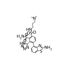 CN(C)CCCNS(=O)(=O)c1ccc(-c2cccc3sc(N)nc23)c(-c2nnn[nH]2)c1S(N)(=O)=O